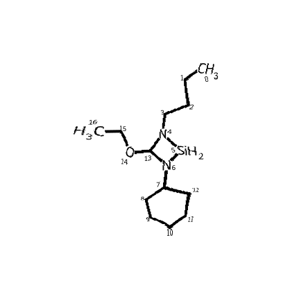 CCCCN1[SiH2]N(C2CCCCC2)C1OCC